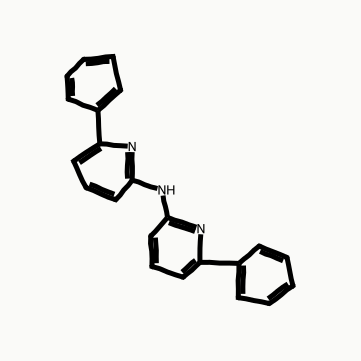 c1ccc(-c2cccc(Nc3cccc(-c4ccccc4)n3)n2)cc1